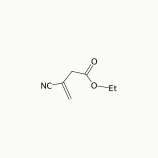 C=C(C#N)CC(=O)OCC